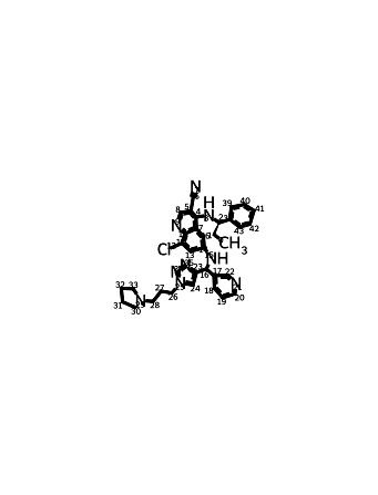 CC[C@@H](Nc1c(C#N)cnc2c(Cl)cc(NC(c3cccnc3)c3cn(CCCN4CCCC4)nn3)cc12)c1ccccc1